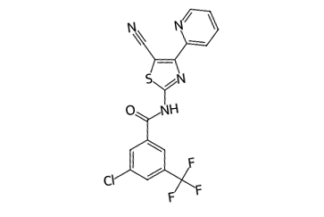 N#Cc1sc(NC(=O)c2cc(Cl)cc(C(F)(F)F)c2)nc1-c1ccccn1